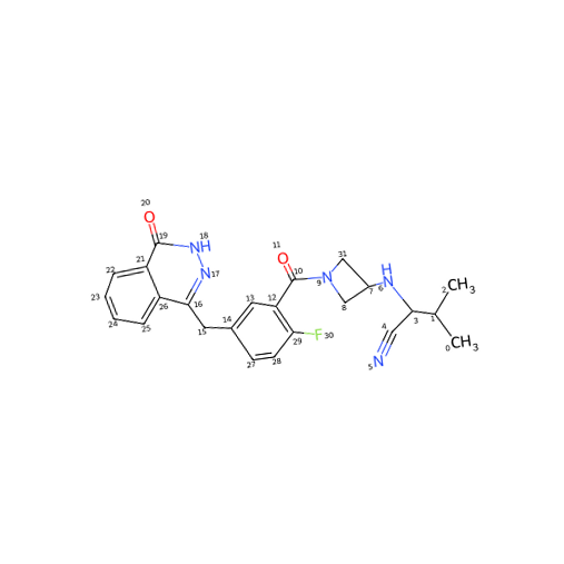 CC(C)C(C#N)NC1CN(C(=O)c2cc(Cc3n[nH]c(=O)c4ccccc34)ccc2F)C1